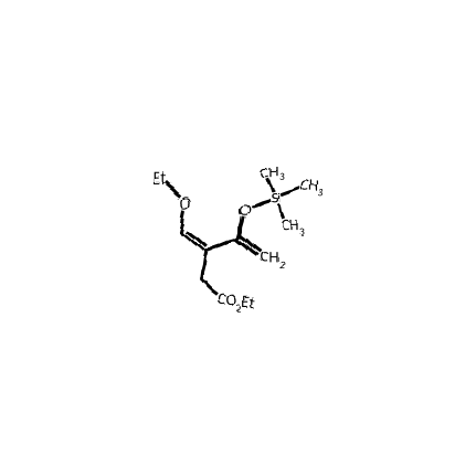 C=C(O[Si](C)(C)C)/C(=C\OCC)CC(=O)OCC